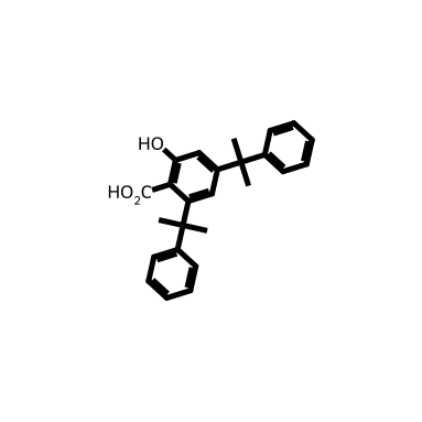 CC(C)(c1ccccc1)c1cc(O)c(C(=O)O)c(C(C)(C)c2ccccc2)c1